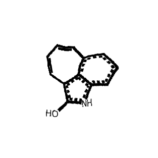 Oc1[nH]c2cccc3c2c1C=CC=C3